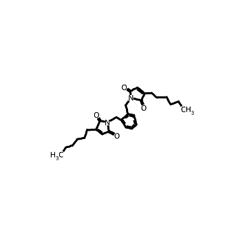 CCCCCCC1=CC(=O)N(Cc2ccccc2CN2C(=O)C=C(CCCCCC)C2=O)C1=O